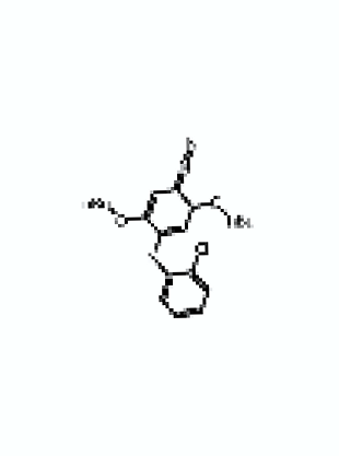 CCCCOC1=CC(=[N+]=[N-])C(OCCCC)C=C1Sc1ccccc1Cl